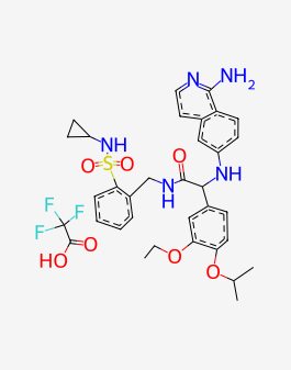 CCOc1cc(C(Nc2ccc3c(N)nccc3c2)C(=O)NCc2ccccc2S(=O)(=O)NC2CC2)ccc1OC(C)C.O=C(O)C(F)(F)F